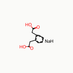 O=C(O)Cc1ccccc1CC(=O)O.[NaH]